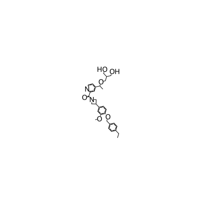 CCc1ccc(COc2ccc(C3CN(C(=O)c4cc(C(C)OCC(CO)CO)ccn4)C3)cc2OC)cc1